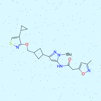 Cc1cc(CC(=O)Nc2cc(C3CC(COc4nscc4C4CC4)C3)nn2C(C)(C)C)on1